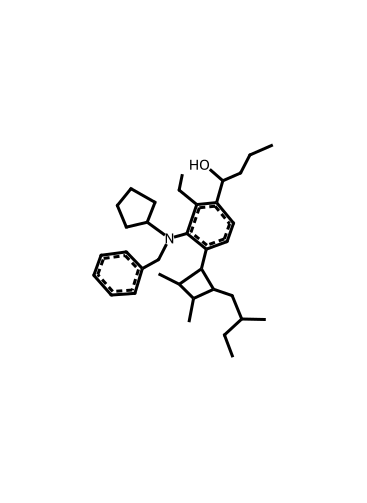 CCCC(O)c1ccc(C2C(C)C(C)C2CC(C)CC)c(N(Cc2ccccc2)C2CCCC2)c1CC